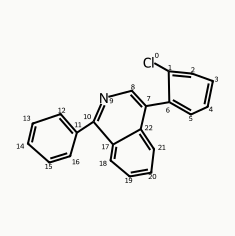 Clc1ccccc1-c1cnc(-c2ccccc2)c2ccccc12